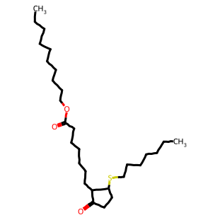 CCCCCCCCCCOC(=O)CCCCCCC1C(=O)CCC1SCCCCCCC